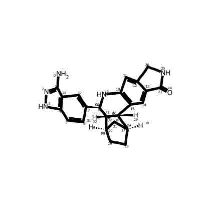 Nc1n[nH]c2ccc([C@H]3Nc4cc5c(cc4[C@@H]4[C@H]6CC[C@H](C6)[C@@H]43)C(=O)NC5)cc12